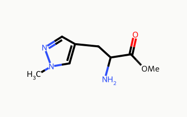 COC(=O)C(N)Cc1cnn(C)c1